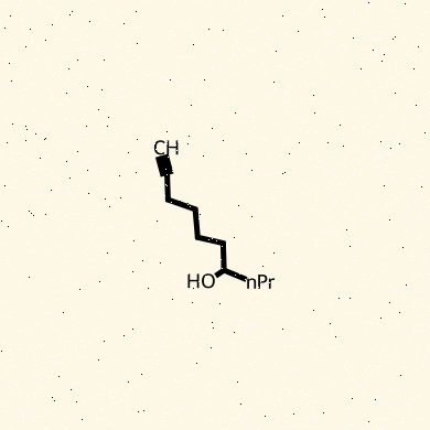 C#CCCCCC(O)CCC